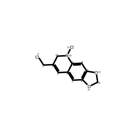 ClCC1=Cc2cc3c(cc2N(Cl)C1)OCO3